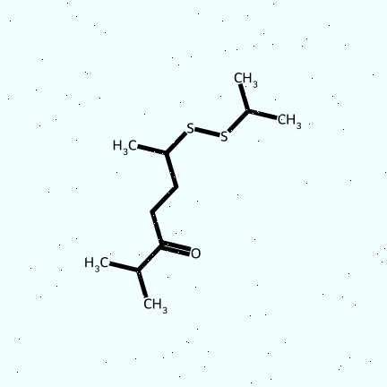 CC(C)SSC(C)CCC(=O)C(C)C